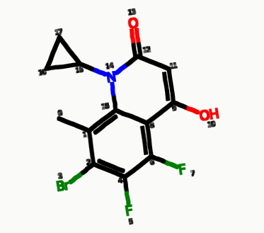 Cc1c(Br)c(F)c(F)c2c(O)cc(=O)n(C3CC3)c12